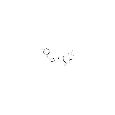 CC(C)Cn1c(=O)[nH]c(N)c(NC(=O)c2cnn(Cc3cccc(F)c3)c2)c1=O